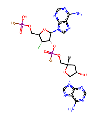 CC[C@@]1(COP(=O)(S)O[C@@H]2[C@H](F)[C@@H](CO[P@@](=O)(O)S)O[C@H]2n2cnc3c(N)ncnc32)C[C@@H](O)[C@H](n2cnc3c(N)ncnc32)O1